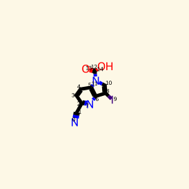 N#Cc1ccc2c(n1)c(I)cn2C(=O)O